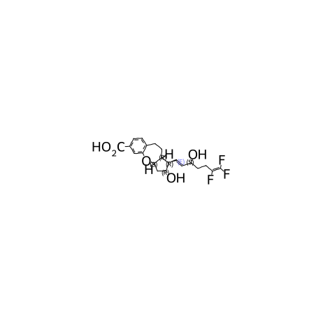 O=C(O)c1ccc2c(c1)O[C@H]1C[C@@H](O)[C@H](/C=C/[C@@H](O)CCC(F)=C(F)F)[C@H]1CC2